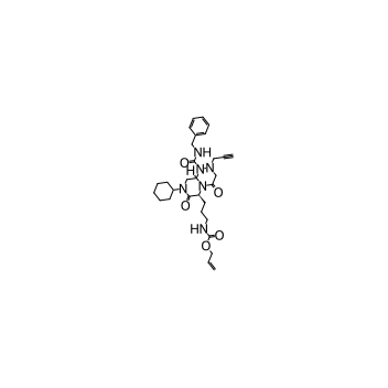 C#CCN1CC(=O)N2[C@@H](CCCNC(=O)OCC=C)C(=O)N(C3CCCCC3)C[C@@H]2N1C(=O)NCc1ccccc1